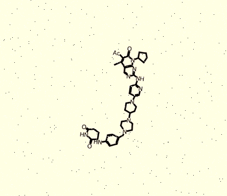 CC(=O)c1c(C)c2cnc(Nc3ccc(N4CCC(N5CCN(Cc6ccc(NC7CCC(=O)NC7=O)cc6)CC5)CC4)cn3)nc2n(C2CCCC2)c1=O